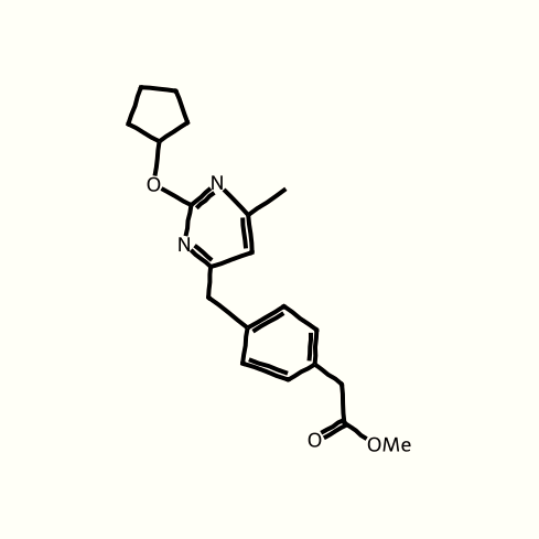 COC(=O)Cc1ccc(Cc2cc(C)nc(OC3CCCC3)n2)cc1